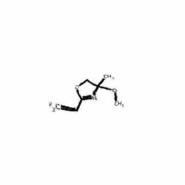 C=CC1=NC(C)(OC)CO1